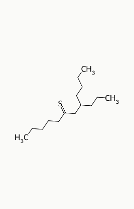 CCCCCC(=S)CC(CCC)CCCC